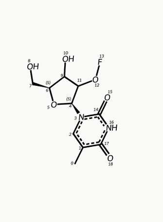 Cc1cn([C@H]2O[C@@H](CO)C(O)C2OF)c(=O)[nH]c1=O